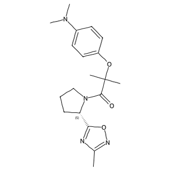 Cc1noc([C@@H]2CCCN2C(=O)C(C)(C)Oc2ccc(N(C)C)cc2)n1